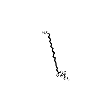 CCCCCCCCC=CCCCCCCCC(=O)OS(=O)(=O)OC